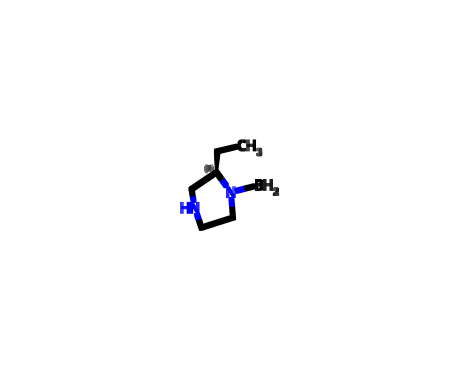 BN1CCNC[C@H]1CC